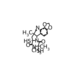 CN1C(=O)[C@@]2(S)C[C@](C)(C#N)C(c3ccc4c(c3)OCO4)N2C(=O)[C@]1(C)S